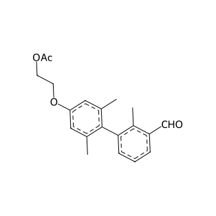 CC(=O)OCCOc1cc(C)c(-c2cccc(C=O)c2C)c(C)c1